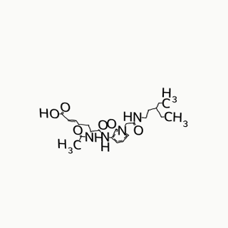 CCC(CC)CCNC(=O)Cn1cccc(NC(=O)C(CC/C=C/C(=O)O)NC(C)=O)c1=O